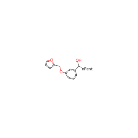 CCCCCC(O)c1cccc(OCc2ccco2)c1